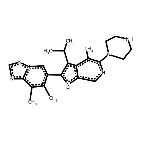 Cc1c(-c2[nH]c3cnc(N4CCNCC4)c(C)c3c2C(C)C)cn2ncnc2c1C